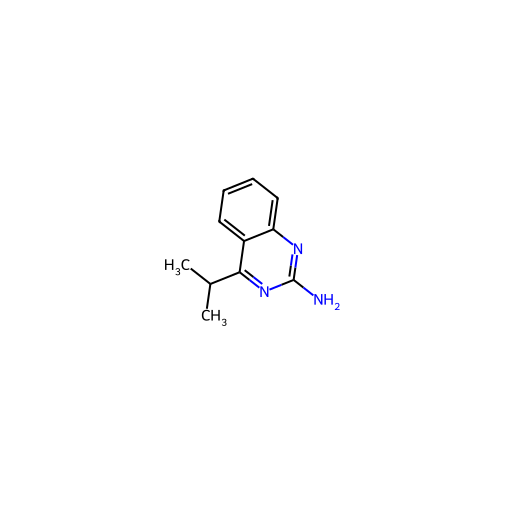 CC(C)c1nc(N)nc2ccccc12